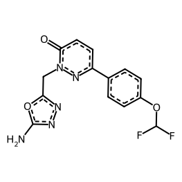 Nc1nnc(Cn2nc(-c3ccc(OC(F)F)cc3)ccc2=O)o1